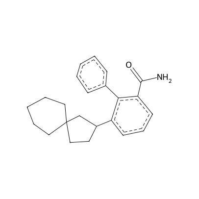 NC(=O)c1cccc(C2CCC3(CCCCC3)C2)c1-c1ccccc1